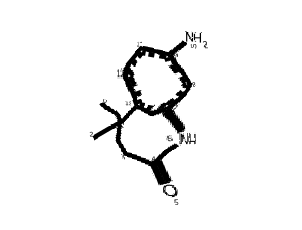 CC1(C)CC(=O)Nc2cc(N)ccc21